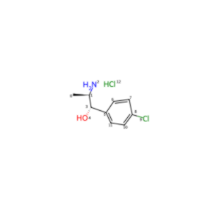 C[C@@H](N)[C@@H](O)c1ccc(Cl)cc1.Cl